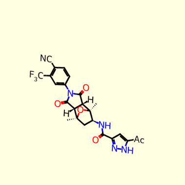 CC(=O)c1cc(C(=O)N[C@H]2C[C@]3(C)O[C@@]2(C)[C@H]2C(=O)N(c4ccc(C#N)c(C(F)(F)F)c4)C(=O)[C@H]23)n[nH]1